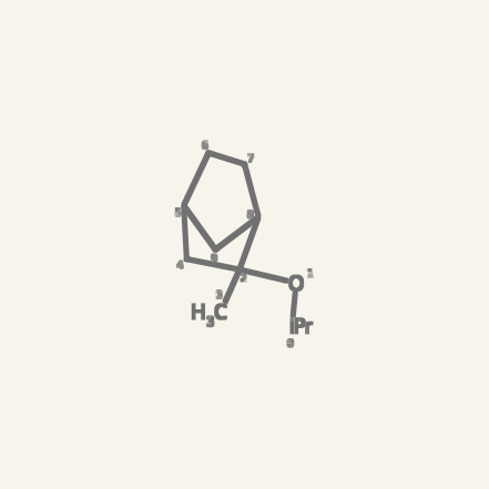 CC(C)OC1(C)CC2CCC1C2